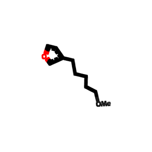 [CH2]OCCCCCc1ccoc1